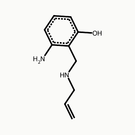 C=CCNCc1c(N)cccc1O